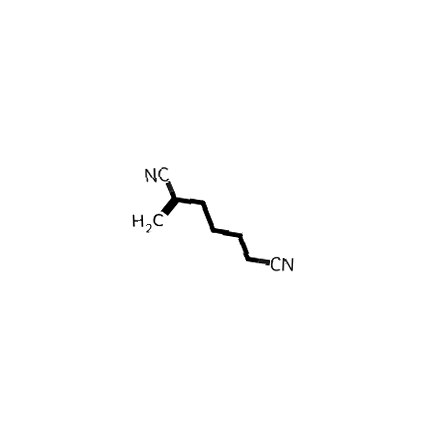 C=C(C#N)CCCCC#N